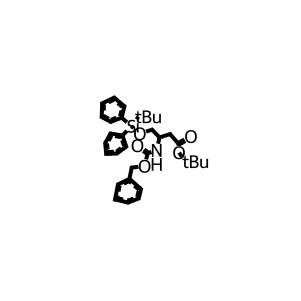 CC(C)(C)OC(=O)CC(CO[Si](c1ccccc1)(c1ccccc1)C(C)(C)C)NC(=O)OCc1ccccc1